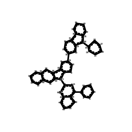 c1ccc(-c2nc(-n3c4ccc(-c5ccc6c7ccccc7n(-c7ccccc7)c6c5)cc4c4cc5ccccc5cc43)nc3ccccc23)cc1